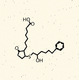 O=C(O)CCCCCCC1C(=O)CCC1SCC(O)CCCCc1ccccc1